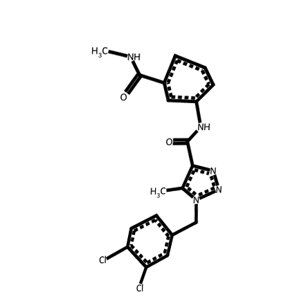 CNC(=O)c1cccc(NC(=O)c2nnn(Cc3ccc(Cl)c(Cl)c3)c2C)c1